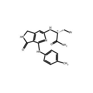 Cc1ccc(Nc2nc(N[C@H](CC(C)C)C(N)=O)cc3c2C(=O)NC3)cc1